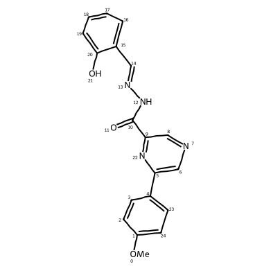 COc1ccc(-c2cncc(C(=O)N/N=C/c3ccccc3O)n2)cc1